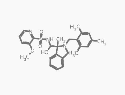 COc1cccnc1S(=O)(=O)NC(O)C1(C)c2ccccc2CN1Cc1c(C)cc(C)cc1C